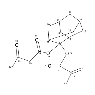 C=C(C)C(=O)OC1(OC(=O)CC(C)=O)C2CC3CC(C2)CC1C3